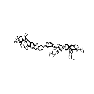 C[C@@H]1OCC2(CCN(c3cnc(Sc4ccnc(N5CCN(Cc6cc7c(cc6F)C(=O)N(C6CCC(=O)NC6=O)C7=O)CC5)c4)c(N)n3)CC2)[C@@H]1N